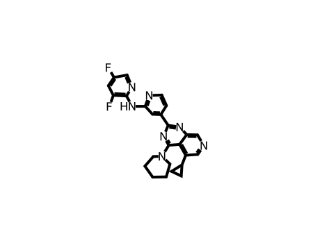 Fc1cnc(Nc2cc(-c3nc(N4CCCCC4)c4c(C5CC5)cncc4n3)ccn2)c(F)c1